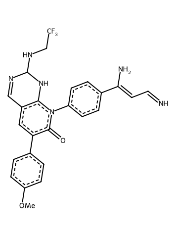 COc1ccc(-c2cc3c(n(-c4ccc(/C(N)=C/C=N)cc4)c2=O)NC(NCC(F)(F)F)N=C3)cc1